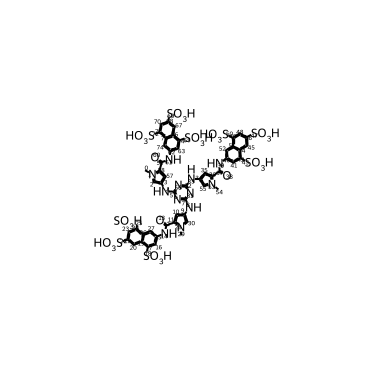 Cn1cc(Nc2nc(Nc3cc(C(=O)Nc4cc(S(=O)(=O)O)c5cc(S(=O)(=O)O)cc(S(=O)(=O)O)c5c4)n(C)c3)nc(Nc3cc(C(=O)Nc4cc(S(=O)(=O)O)c5cc(S(=O)(=O)O)cc(S(=O)(=O)O)c5c4)n(C)c3)n2)cc1C(=O)Nc1cc(S(=O)(=O)O)c2cc(S(=O)(=O)O)cc(S(=O)(=O)O)c2c1